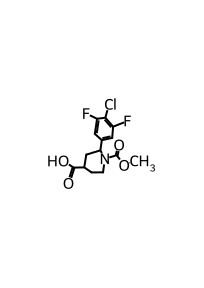 COC(=O)N1CCC(C(=O)O)CC1c1cc(F)c(Cl)c(F)c1